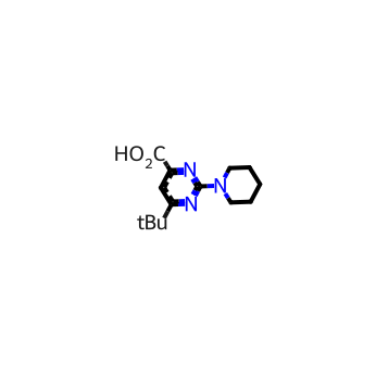 CC(C)(C)c1cc(C(=O)O)nc(N2CCCCC2)n1